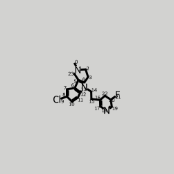 CN1CCc2c(c3cc(Cl)ccc3n2CCC2=CN=CC(F)C2)C1